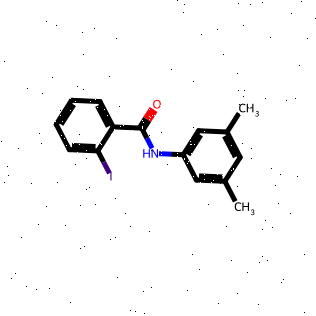 Cc1cc(C)cc(NC(=O)c2ccccc2I)c1